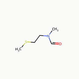 CSCCN(C)C=O